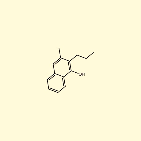 CCCc1c(C)cc2ccccc2c1O